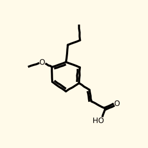 CCCc1cc(/C=C/C(=O)O)ccc1OC